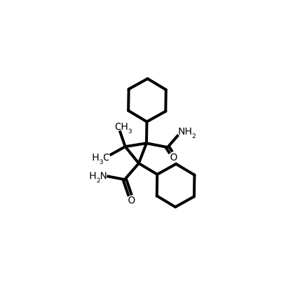 CC1(C)C(C(N)=O)(C2CCCCC2)C1(C(N)=O)C1CCCCC1